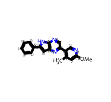 COc1cc(C)c(-c2cnc3[nH]c(-c4ccccc4)cc3n2)cn1